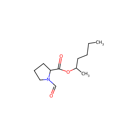 CCCCC(C)OC(=O)C1CCCN1C=O